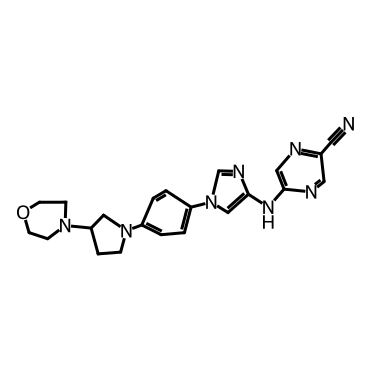 N#Cc1cnc(Nc2cn(-c3ccc(N4CCC(N5CCOCC5)C4)cc3)cn2)cn1